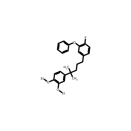 CCOc1ccc(C(C)(C)CCCc2ccc(F)c(Oc3ccccc3)c2)cc1OCC